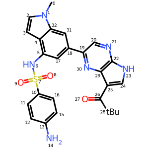 Cn1ccc2c(NS(=O)(=O)c3ccc(N)cc3)cc(-c3cnc4[nH]cc(C(=O)C(C)(C)C)c4n3)cc21